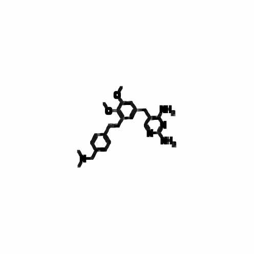 COc1cc(Cc2cnc(N)nc2N)cc(/C=C/c2ccc(CN(C)C)cc2)c1OC